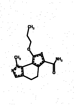 CCCOc1sc(C(N)=O)c2c1-c1c(cnn1C)CC2